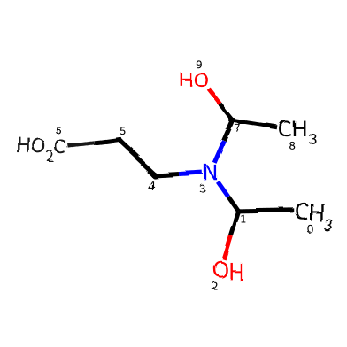 CC(O)N(CCC(=O)O)C(C)O